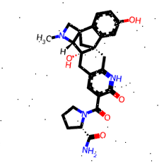 CN1CC23C[C@@]4(Cc5[nH]c(=O)c(C(=O)N6CCC[C@H]6C(N)=O)cc5C[C@@]4(O)[C@H]12)c1cc(O)ccc13